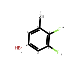 Br.Fc1ccc[c]([Zn])c1F